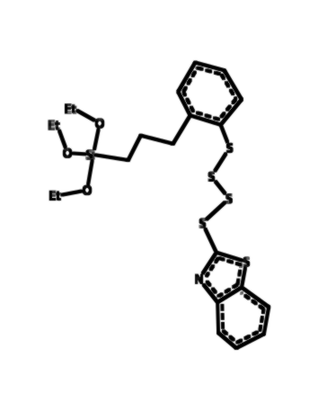 CCO[Si](CCCc1ccccc1SSSSc1nc2ccccc2s1)(OCC)OCC